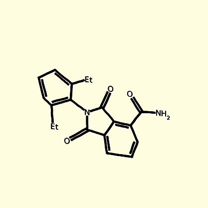 CCc1cccc(CC)c1N1C(=O)c2cccc(C(N)=O)c2C1=O